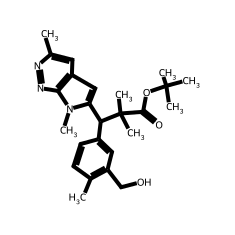 Cc1cc2cc(C(c3ccc(C)c(CO)c3)C(C)(C)C(=O)OC(C)(C)C)n(C)c2nn1